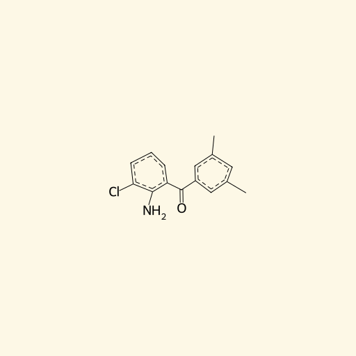 Cc1cc(C)cc(C(=O)c2cccc(Cl)c2N)c1